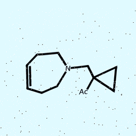 CC(=O)C1(CN2CCC=CCC2)CC1